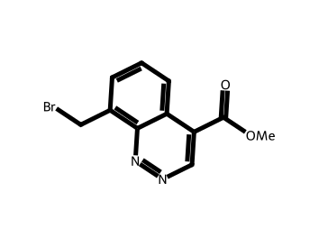 COC(=O)c1cnnc2c(CBr)cccc12